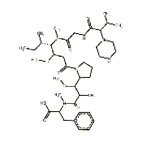 CCC(C)[C@@H](C(CC(=O)N1CCCC1C(OC)C(C)C(=O)N(C)C(Cc1ccccc1)C(=O)O)OC)N(C)C(=O)CNC(=O)C(C(C)C)N1CCNCC1